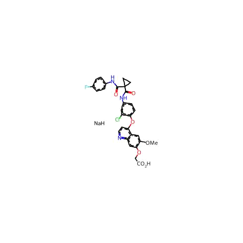 COc1cc2c(Oc3ccc(NC(=O)C4(C(=O)Nc5ccc(F)cc5)CC4)cc3Cl)ccnc2cc1OCC(=O)O.[NaH]